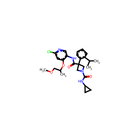 COCC(C)Oc1cc(Cl)ncc1NC(=O)C1(c2ccccc2C(C)C)CN(C(=O)NC2CC2)C1